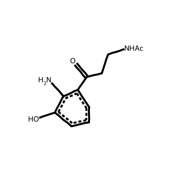 CC(=O)NCCC(=O)c1cccc(O)c1N